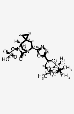 CN(C)C[C@H](O[Si](C)(C)C(C)(C)C)c1nnc([C@@H]2CC3(CC3)[C@@H]3CN2C(=O)N3OS(=O)(=O)O)o1